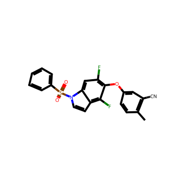 Cc1ccc(Oc2c(F)cc3c(ccn3S(=O)(=O)c3ccccc3)c2F)cc1C#N